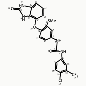 CSc1cc(NC(=O)Nc2ccc(Cl)c(C(F)(F)F)c2)ccc1Oc1cccc2[nH]c(=O)[nH]c12